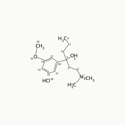 CCCC(O)(CCN(C)C)c1cccc(OC)c1.Cl